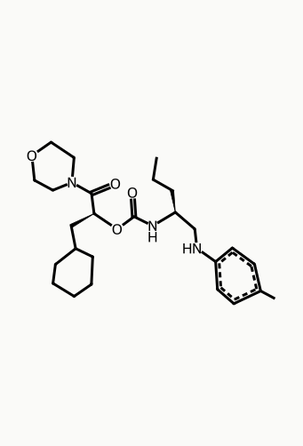 CCC[C@@H](CNc1ccc(C)cc1)NC(=O)O[C@@H](CC1CCCCC1)C(=O)N1CCOCC1